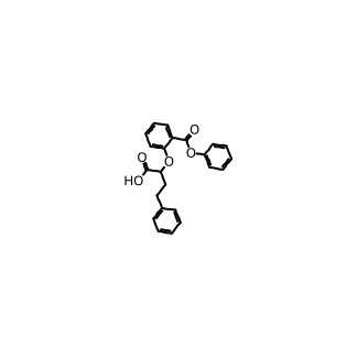 O=C(Oc1ccccc1)c1ccccc1OC(CCc1ccccc1)C(=O)O